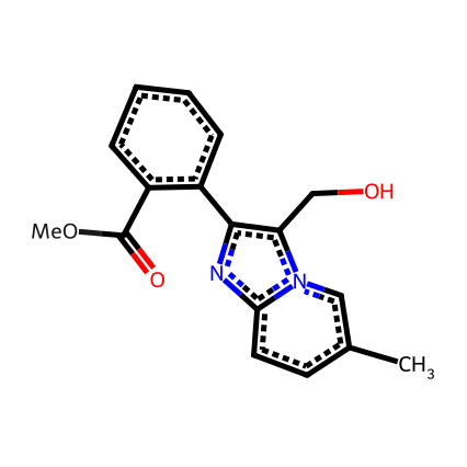 COC(=O)c1ccccc1-c1nc2ccc(C)cn2c1CO